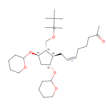 CC(=O)CCC/C=C\C[C@@H]1[C@@H](CO[Si](C)(C)C(C)(C)C)[C@H](OC2CCCCO2)C[C@H]1OC1CCCCO1